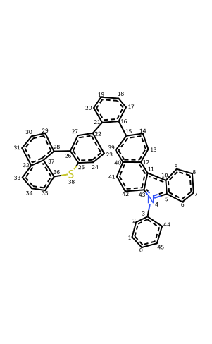 c1ccc(-n2c3ccccc3c3c4ccc(-c5ccccc5-c5ccc6c(c5)-c5cccc7cccc(c57)S6)cc4ccc32)cc1